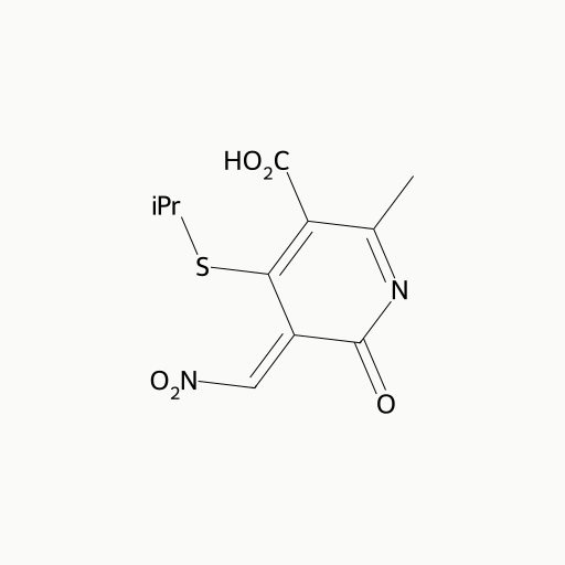 CC1=NC(=O)/C(=C/[N+](=O)[O-])C(SC(C)C)=C1C(=O)O